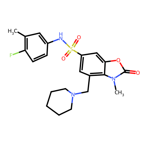 Cc1cc(NS(=O)(=O)c2cc(CN3CCCCC3)c3c(c2)oc(=O)n3C)ccc1F